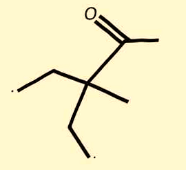 [CH2]CC(C)(C[CH2])C(C)=O